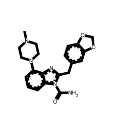 CN1CCN(c2cccc3c2nc(Cc2ccc4c(c2)OCO4)n3C(N)=O)CC1